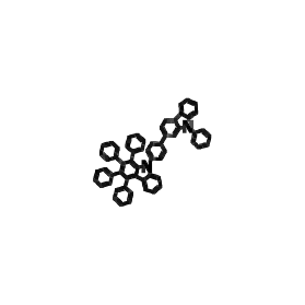 c1ccc(-c2c(-c3ccccc3)c(-c3ccccc3)c3c(c2-c2ccccc2)c2ccccc2n3-c2ccc(-c3ccc4c5ccccc5n(-c5ccccc5)c4c3)cc2)cc1